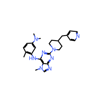 Cc1ccc(N(C)C)cc1Nc1nc(N2CCC(Cc3ccncc3)CC2)nc2ncn(C)c12